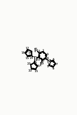 Fc1ccc(-n2cccc2)c(F)[c]1[Ti]([C]1=CC=CC1)[C]1=CC=CC1